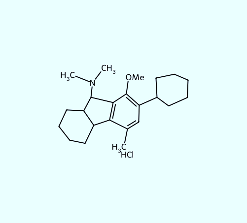 COc1c(C2CCCCC2)cc(C)c2c1C(N(C)C)C1CCCCC21.Cl